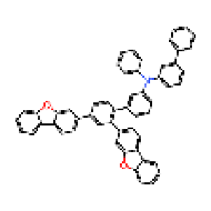 c1ccc(-c2cccc(N(c3ccccc3)c3cccc(-c4ccc(-c5ccc6c(c5)oc5ccccc56)cc4-c4ccc5c(c4)oc4ccccc45)c3)c2)cc1